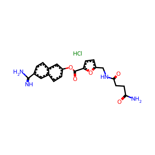 Cl.N=C(N)c1ccc2cc(OC(=O)c3ccc(CNC(=O)CCC(N)=O)o3)ccc2c1